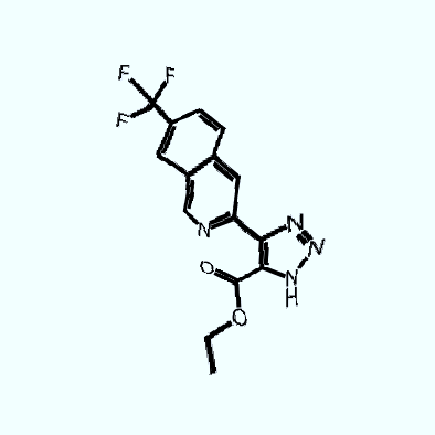 CCOC(=O)c1[nH]nnc1-c1cc2ccc(C(F)(F)F)cc2cn1